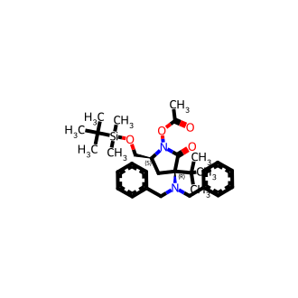 CC(=O)ON1C(=O)[C@](N(Cc2ccccc2)Cc2ccccc2)(C(C)(C)C)C[C@H]1CO[Si](C)(C)C(C)(C)C